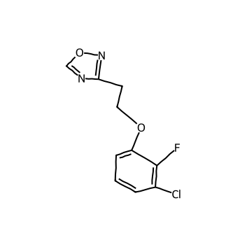 Fc1c(Cl)cccc1OCCc1ncon1